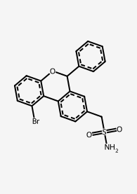 NS(=O)(=O)Cc1ccc2c(c1)C(c1ccccc1)Oc1cccc(Br)c1-2